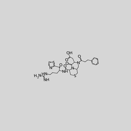 N=C(N)NCCCC(NC(=O)C1CSCC2CN(C(=O)CCc3ccccc3)C(CC(=O)O)C(=O)N21)C(=O)c1nccs1